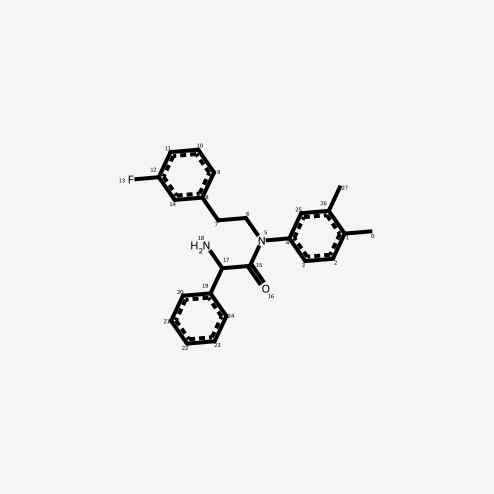 Cc1ccc(N(CCc2cccc(F)c2)C(=O)C(N)c2ccccc2)cc1C